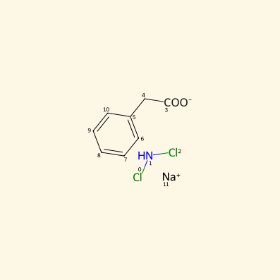 ClNCl.O=C([O-])Cc1ccccc1.[Na+]